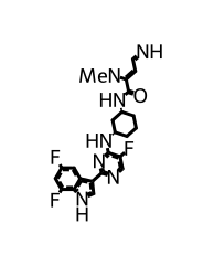 CN/C(=C\C=N)C(=O)N[C@@H]1CCC[C@H](Nc2nc(-c3c[nH]c4c(F)cc(F)cc34)ncc2F)C1